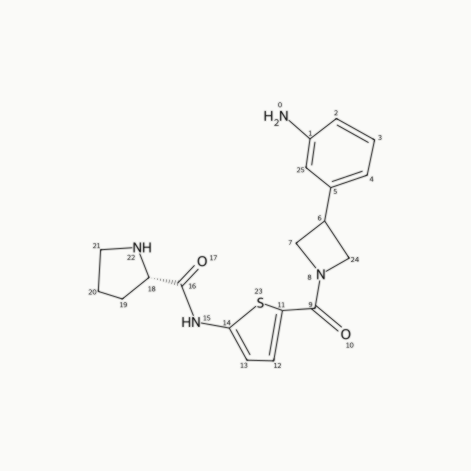 Nc1cccc(C2CN(C(=O)c3ccc(NC(=O)[C@@H]4CCCN4)s3)C2)c1